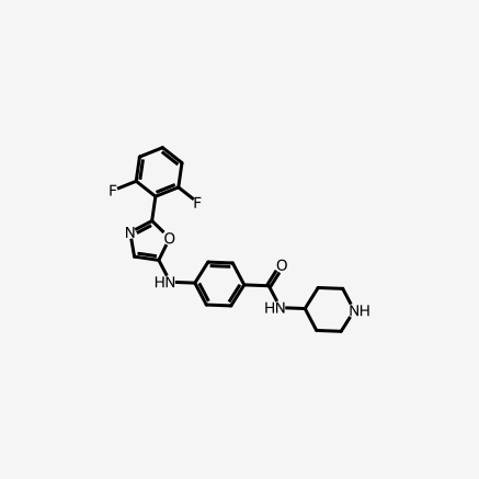 O=C(NC1CCNCC1)c1ccc(Nc2cnc(-c3c(F)cccc3F)o2)cc1